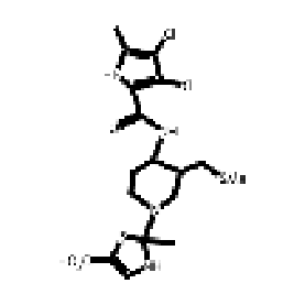 CSCC1CN(C2(C)NC=C(C(=O)O)S2)CCC1NC(=O)c1[nH]c(C)c(Cl)c1Cl